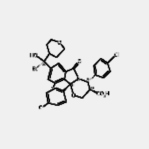 CC[C@@](O)(c1cc(F)c2c(c1)C(=O)N1[C@H](c3ccc(Cl)cc3)[C@@H](C(=O)O)CO[C@]21c1ccc(Cl)cc1)C1CCOCC1